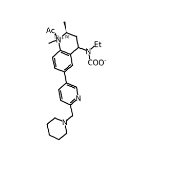 CCN(C(=O)[O-])C1C[C@H](C)[N@+](C)(C(C)=O)c2ccc(-c3ccc(CN4CCCCC4)nc3)cc21